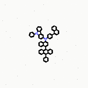 c1ccc(-c2c3ccccc3c(-c3ccc(N(c4ccc(-c5cccc6ccccc56)cc4)c4ccc5c(c4)c4ccccc4n5-c4ccccc4)c4ccccc34)c3ccccc23)cc1